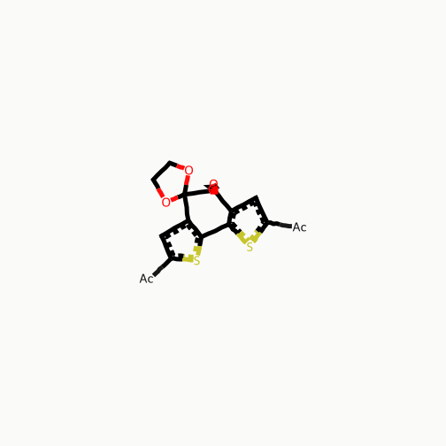 CC(=O)c1cc2c(s1)-c1sc(C(C)=O)cc1C1(OCCO1)C21OCCO1